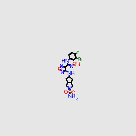 NS(=O)(=O)N1CC2CC(Nc3nonc3/C(=N/O)Nc3ccc(F)c(Br)c3)CC2C1